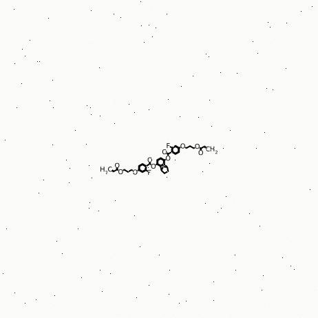 C=CC(=O)OCCCOc1ccc(C(=O)Oc2ccc(OC(=O)c3ccc(OCCCOC(=O)C=C)cc3F)c3c2C2CCC3C2)c(F)c1